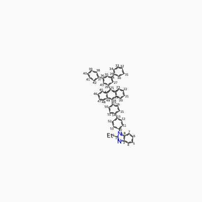 CCc1nc2ccccc2n1-c1ccc(-c2ccc(-c3c4ccccc4c(-c4cc(-c5ccccc5)cc(-c5ccccc5)c4)c4ccccc34)cc2)cc1